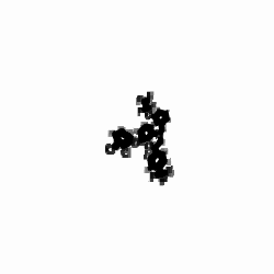 OC(CN(Cc1cccc(OC(F)(F)C(F)F)c1)c1cccc(Oc2cccc(Cl)c2Cl)c1)c1ccc(C(F)(F)F)cc1